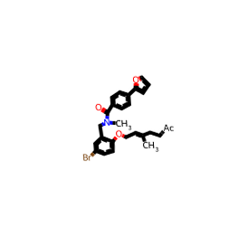 CC(=O)CC/C(C)=C/COc1ccc(Br)cc1CN(C)C(=O)c1ccc(-c2ccco2)cc1